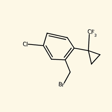 FC(F)(F)C1(c2ccc(Cl)cc2CBr)CC1